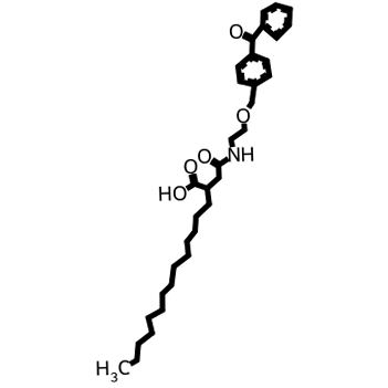 CCCCCCCCCCCCCCC(CC(=O)NCCOCc1ccc(C(=O)c2ccccc2)cc1)C(=O)O